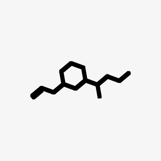 C=CCC1CCCC(C(C)[CH]CC)C1